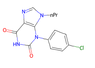 CCCn1cnc2c(=O)[nH]c(=O)n(-c3ccc(Cl)cc3)c21